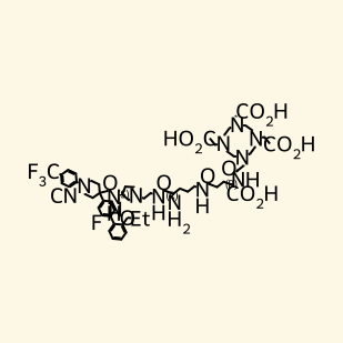 CCOc1ccccc1-c1ncc(C2(C(=O)N[C@H]3CCN(CCNC(=O)[C@H](N)CCCNC(=O)CC[C@@H](NC(=O)CN4CCN(CC(=O)O)CCN(CC(=O)O)CCN(CC(=O)O)CC4)C(=O)O)C3)CCN(c3ccc(C(F)(F)F)cc3C#N)CC2)cc1F